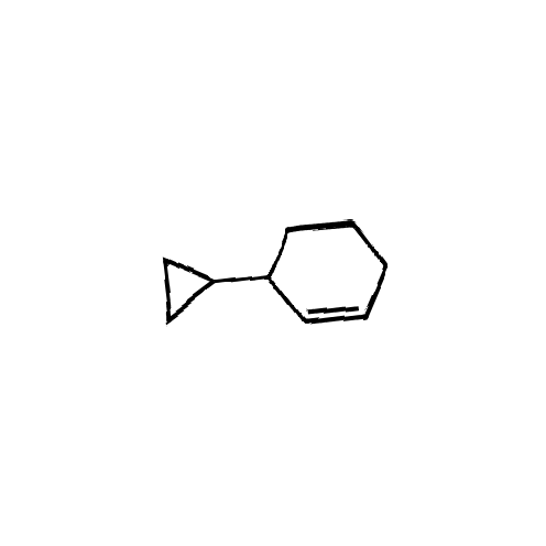 C1=CC(C2CC2)CCC1